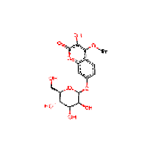 CC(C)Oc1c(O)c(=O)oc2cc(O[C@@H]3O[C@H](CO)[C@@H](O)[C@H](O)[C@@H]3O)ccc12